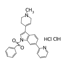 CN1CC=C(c2cn(S(=O)(=O)c3ccccc3)c3cc(-c4ccccn4)ccc23)CC1.Cl.Cl